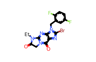 CCN1C(=O)Cn2c1nc1c(nc(Br)n1Cc1cc(F)ccc1F)c2=O